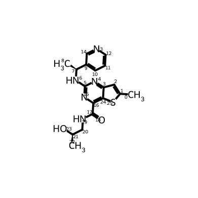 Cc1cc2nc(N[C@@H](C)c3cccnc3)nc(C(=O)NC[C@@H](C)O)c2s1